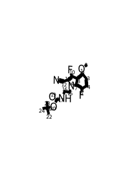 COc1ccc(F)c2c1c(F)c(C#N)n2CCNC(=O)OC(C)(C)C